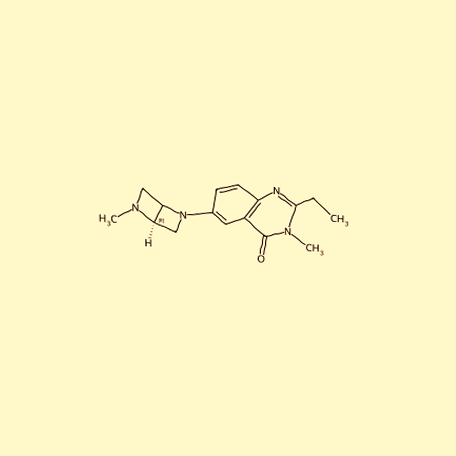 CCc1nc2ccc(N3C[C@@H]4C3CN4C)cc2c(=O)n1C